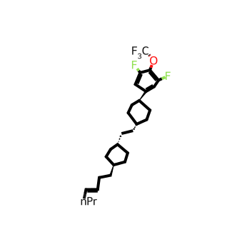 CCC/C=C/CC[C@H]1CC[C@H](CC[C@H]2CC[C@H](c3cc(F)c(OC(F)(F)F)c(F)c3)CC2)CC1